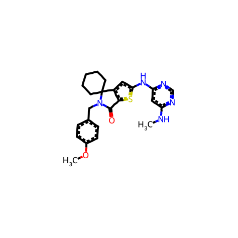 CNc1cc(Nc2cc3c(s2)C(=O)N(Cc2ccc(OC)cc2)C32CCCCC2)ncn1